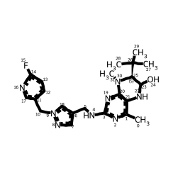 Cc1nc(NCc2cnn(Cc3ccc(F)nc3)c2)nc2c1NC(O)[C@H](C(C)(C)C)N2C